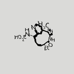 CC[C@@H]1C=CC[C@H](NC(=O)O)c2cc(ccn2)-c2c(cnn2C)NC1=O